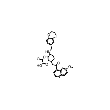 COc1ccc2nccc(C(=O)CC3CCC(NCc4ccc5c(c4)OCCO5)CC3)c2c1.O=C(O)C(=O)O